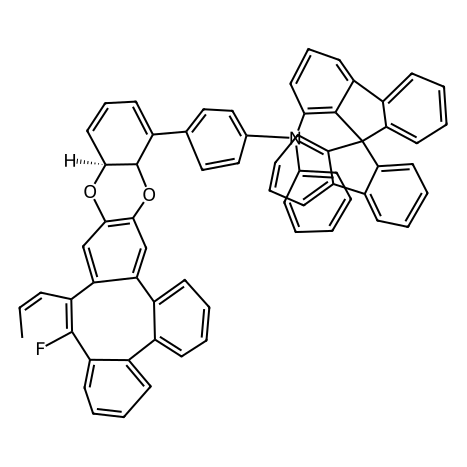 C/C=C\C1=C(/F)c2ccccc2-c2ccccc2-c2cc3c(cc21)O[C@H]1C=CC=C(c2ccc(N(c4ccccc4)c4cccc5c4C4(c6ccccc6-c6ccccc64)c4ccccc4-5)cc2)C1O3